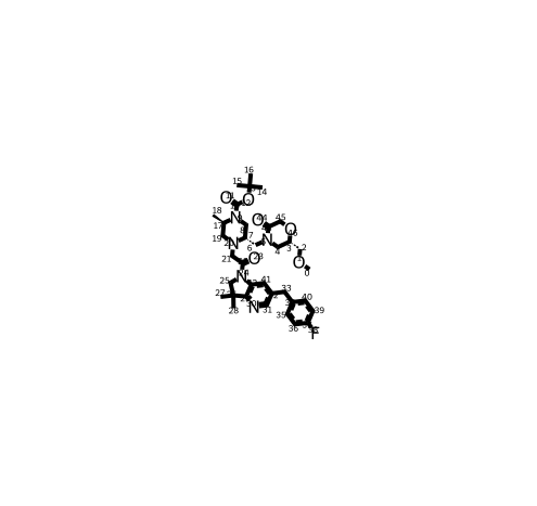 COC[C@@H]1CN(C[C@H]2CN(C(=O)OC(C)(C)C)[C@H](C)CN2CC(=O)N2CC(C)(C)c3ncc(Cc4ccc(F)cc4)cc32)C(=O)CO1